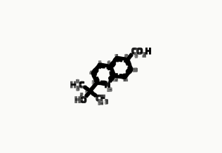 CC(O)(c1ccc2cc(C(=O)O)ccc2n1)C(F)(F)F